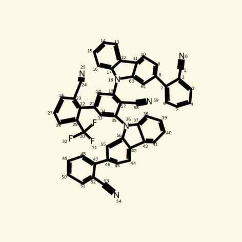 N#Cc1ccccc1-c1ccc2c3ccccc3n(-c3cc(-c4c(C#N)cccc4C(F)(F)F)cc(-n4c5ccccc5c5ccc(-c6ccccc6C#N)cc54)c3C#N)c2c1